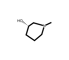 CN1CCC[C@H](O)C1